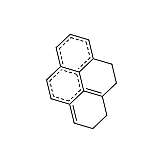 C1=c2ccc3cccc4c3c2=C(CC1)CC4